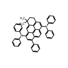 CC1(C)CCc2cc(N(c3ccccc3)c3ccccc3)c3ccc4c(-c5ccccc5)cc(N(c5ccccc5)c5ccccc5)c5cc1c2c3c45